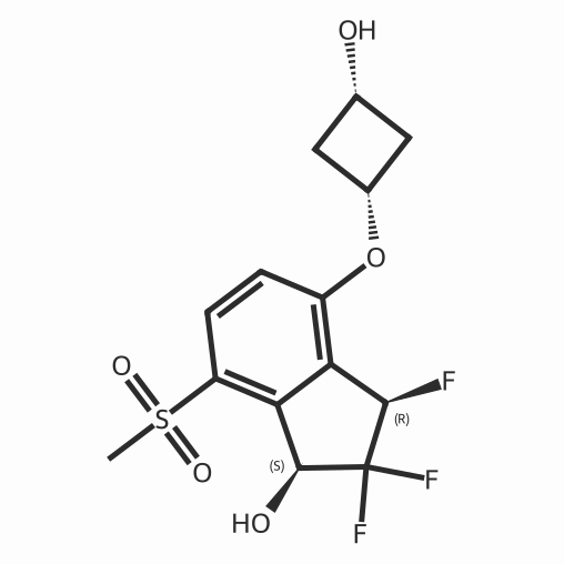 CS(=O)(=O)c1ccc(O[C@H]2C[C@@H](O)C2)c2c1[C@H](O)C(F)(F)[C@@H]2F